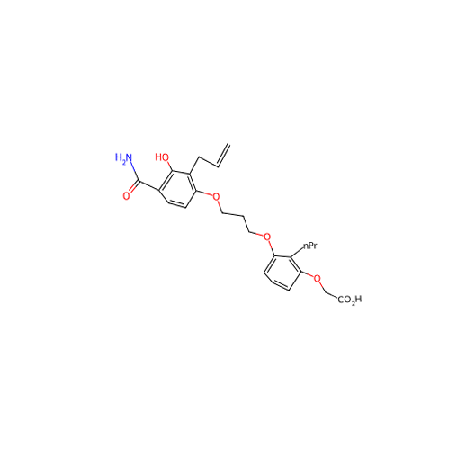 C=CCc1c(OCCCOc2cccc(OCC(=O)O)c2CCC)ccc(C(N)=O)c1O